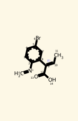 C=Nc1ccc(Br)cc1/C(=C\C)C(=O)O